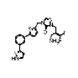 NCC(Cn1ncn(Cc2ccc(-c3cccc(-c4cc[nH]n4)c3)s2)c1=O)=C(F)F